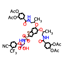 CC(=O)Oc1ccc(C(=O)NCC(C)Oc2cc3cc(S(=O)(=O)NCP(=O)(O)Oc4ccc(C#N)c(C(F)(F)F)c4)sc3cc2OC(C)CNC(=O)c2ccc(OC(C)=O)c(OC(C)=O)c2)cc1OC(C)=O